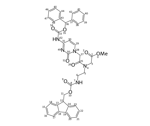 COC(=O)CN(CCNC(=O)OCC1c2ccccc2-c2ccccc21)C(=O)Cn1ccc(NC(=O)OC(c2ccccc2)c2ccccc2)nc1=O